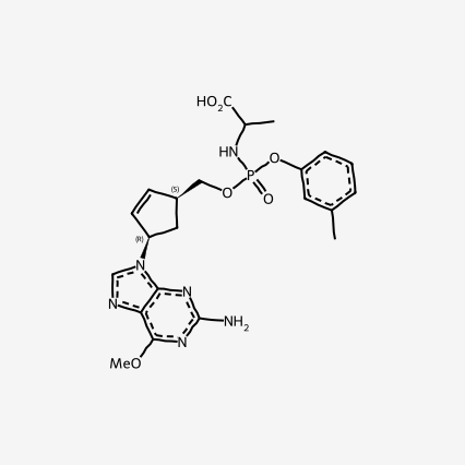 COc1nc(N)nc2c1ncn2[C@H]1C=C[C@@H](COP(=O)(NC(C)C(=O)O)Oc2cccc(C)c2)C1